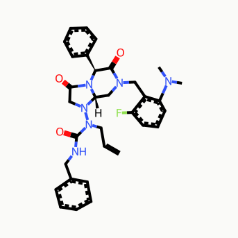 C=CCN(C(=O)NCc1ccccc1)N1CC(=O)N2[C@@H](c3ccccc3)C(=O)N(Cc3c(F)cccc3N(C)C)C[C@@H]21